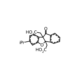 CC(C)c1ccc2c(c1)OC1(CC(=O)O)c3ccccc3C(=O)C21CC(=O)O